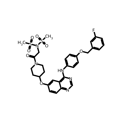 CS(=O)(=O)N(CC(=O)N1CCC(Oc2ccc3ncnc(Nc4ccc(OCc5cccc(F)c5)cc4)c3c2)CC1)S(C)(=O)=O